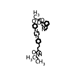 CCC(C)N1N=CC(CCc2ccc(N3CCN(c4ccc(OC(C)[C@@H]5CO[C@@](Cn6nccn6)(c6ccccc6)O5)cc4)CC3)cc2)C1=O